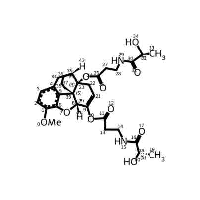 COc1ccc2c3c1O[C@H]1C(OC(=O)CCNC(=O)[C@H](C)O)=CC[C@@]4(OC(=O)CCNC(=O)[C@H](C)O)[C@H](CCC[C@]314)C2